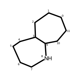 C1CCC2CCCCNC2CC1